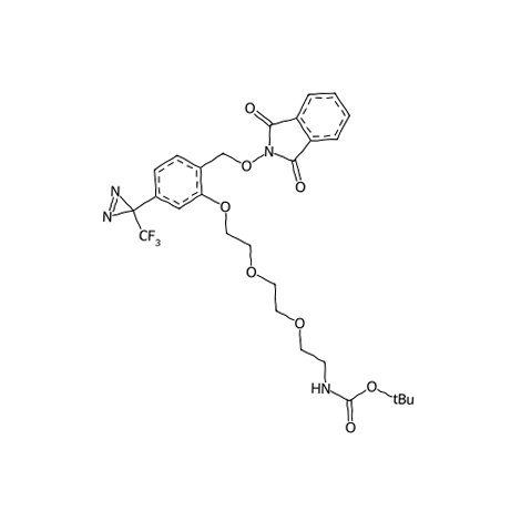 CC(C)(C)OC(=O)NCCOCCOCCOc1cc(C2(C(F)(F)F)N=N2)ccc1CON1C(=O)c2ccccc2C1=O